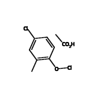 CC(=O)O.Cc1cc(Cl)ccc1OCl